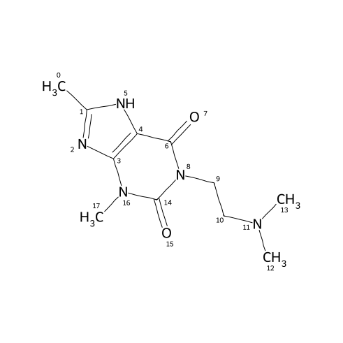 Cc1nc2c([nH]1)c(=O)n(CCN(C)C)c(=O)n2C